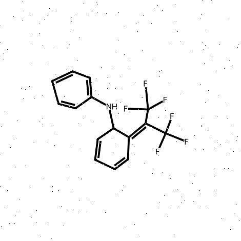 FC(F)(F)C(=C1C=CC=CC1Nc1ccccc1)C(F)(F)F